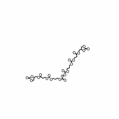 O=C(CCOC(=O)OCCCOC(=O)OOC(=O)OCCCOC(=O)OCCC(=O)OCC1COC(=O)O1)OCC1COC(=O)O1